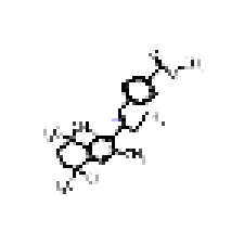 CC/C(=C\c1ccc(C(=O)OC)cc1)c1cc2c(cc1C)C(C)(C)CCC2(C)C